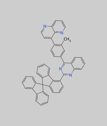 Cc1cc(-c2nc(-c3cccc4c3-c3ccccc3C43c4ccccc4-c4ccccc43)nc3ccccc23)ccc1-c1ccnc2cccnc12